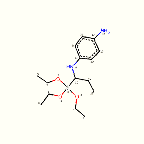 CCO[Si](OCC)(OCC)C(CC)Nc1ccc(N)cc1